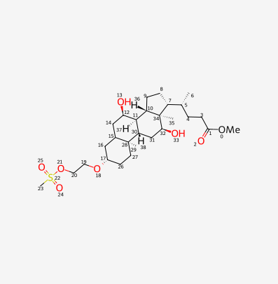 COC(=O)CC[C@@H](C)[C@H]1CC[C@H]2[C@@H]3[C@H](O)CC4C[C@@H](OCCOS(C)(=O)=O)CC[C@]4(C)[C@H]3C[C@H](O)[C@]12C